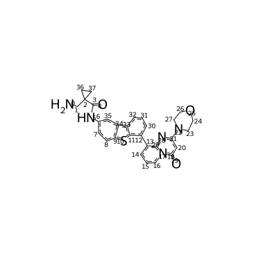 NCC1(C(=O)Nc2ccc3sc4c(-c5cccn6c(=O)cc(N7CCOCC7)nc56)cccc4c3c2)CC1